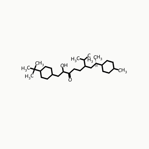 CC1CCC([C@@H](C)CC(CCC(=O)C(O)CC2CCC(C(C)(C)C)CC2)C(C)C)CC1